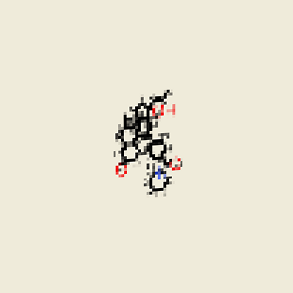 CC=C[C@]1(O)CC[C@H]2[C@@H]3CCC4=CC(=O)CCC4=C3[C@@H](c3ccc(C(=O)N4CCCCC4)cc3)C[C@@]21C